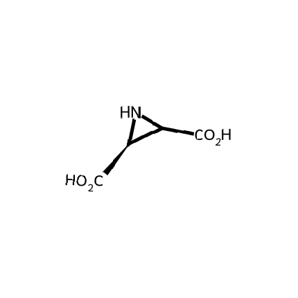 O=C(O)C1N[C@@H]1C(=O)O